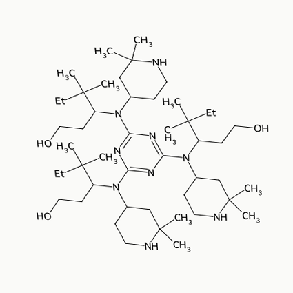 CCC(C)(C)C(CCO)N(c1nc(N(C2CCNC(C)(C)C2)C(CCO)C(C)(C)CC)nc(N(C2CCNC(C)(C)C2)C(CCO)C(C)(C)CC)n1)C1CCNC(C)(C)C1